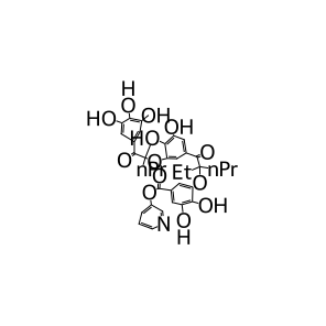 CCCC(C)(Oc1cc(C(=O)C(CC)(CCC)Oc2cc(C(=O)Oc3cccnc3)cc(O)c2O)cc(O)c1O)C(=O)c1cc(O)c(O)c(O)c1